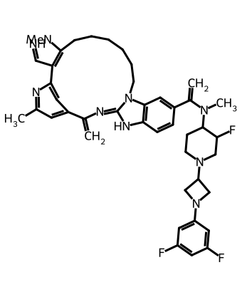 C=C1/N=C2\Nc3ccc(C(=C)N(C)C4CCN(C5CN(c6cc(F)cc(F)c6)C5)CC4F)cc3N2CCCCCC/C(NC)=C(/C=N)c2cc1cc(C)n2